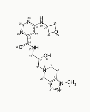 Cn1ncc2c1CCN(C[C@@H](O)CNC(=O)c1cc(NC3COC3)ncn1)C2